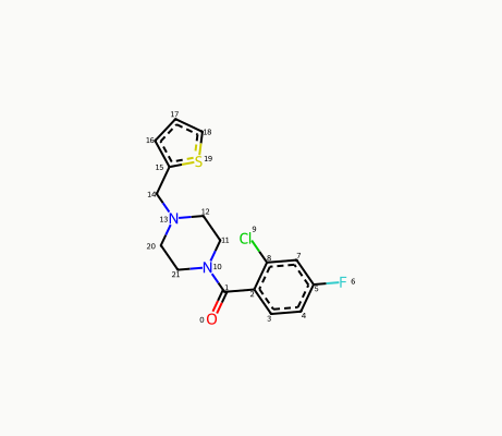 O=C(c1ccc(F)cc1Cl)N1CCN(Cc2cccs2)CC1